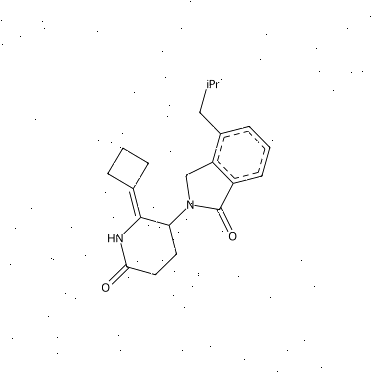 CC(C)Cc1cccc2c1CN(C1CCC(=O)NC1=C1CCC1)C2=O